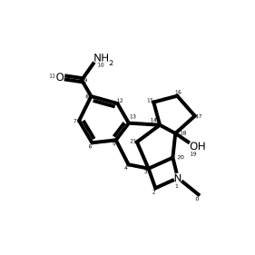 CN1CC23Cc4ccc(C(N)=O)cc4C4(CCCC4(O)C12)C3